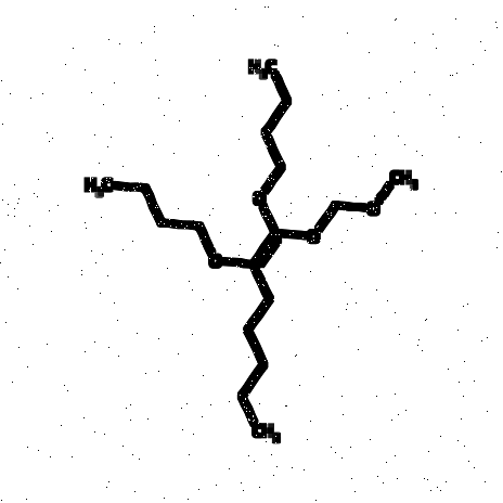 CCCCCC(OCCCC)=C(OCCCC)OCOC